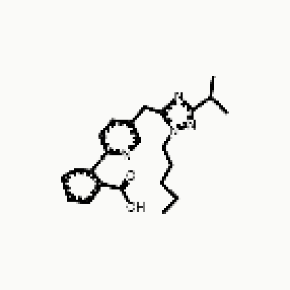 CCCCCn1nc(C(C)C)nc1Cc1ccc(-c2ccccc2C(=O)O)nc1